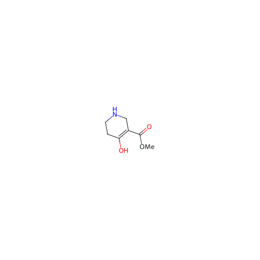 COC(=O)C1=C(O)CCNC1